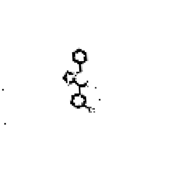 C=C(c1cccc(CC)c1)c1nccn1Cc1ccccc1